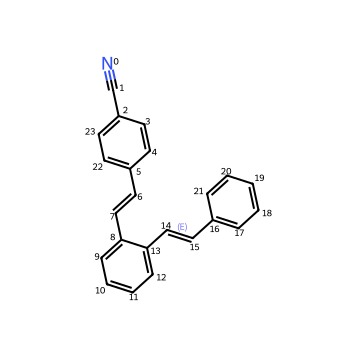 N#Cc1ccc(C=Cc2ccccc2/C=C/c2ccccc2)cc1